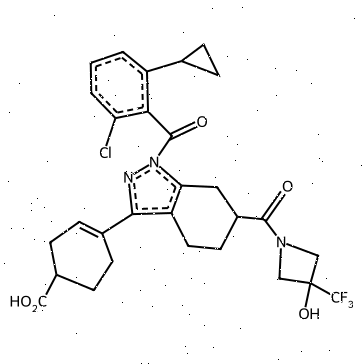 O=C(O)C1CC=C(c2nn(C(=O)c3c(Cl)cccc3C3CC3)c3c2CCC(C(=O)N2CC(O)(C(F)(F)F)C2)C3)CC1